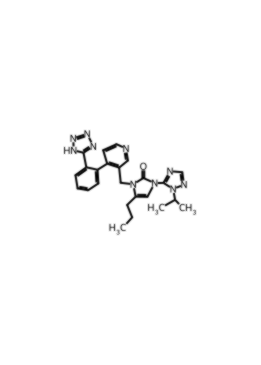 CCCc1cn(-c2ncnn2C(C)C)c(=O)n1Cc1cnccc1-c1ccccc1-c1nnn[nH]1